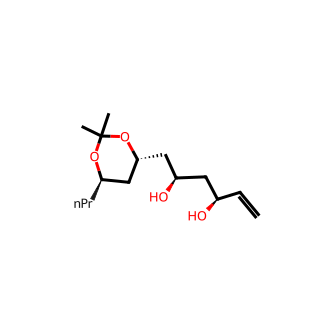 C=C[C@@H](O)C[C@@H](O)C[C@@H]1C[C@@H](CCC)OC(C)(C)O1